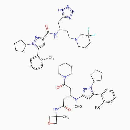 CC1(NC(=O)C[C@H](CC(=O)N2CCCCC2)N(C=O)c2cc(-c3ccccc3C(F)(F)F)n(C3CCCC3)n2)COC1.O=C(N[C@@H](CCN1CCCC(F)(F)C1)Cc1nnn[nH]1)c1cc(-c2ccccc2C(F)(F)F)n(C2CCCC2)n1